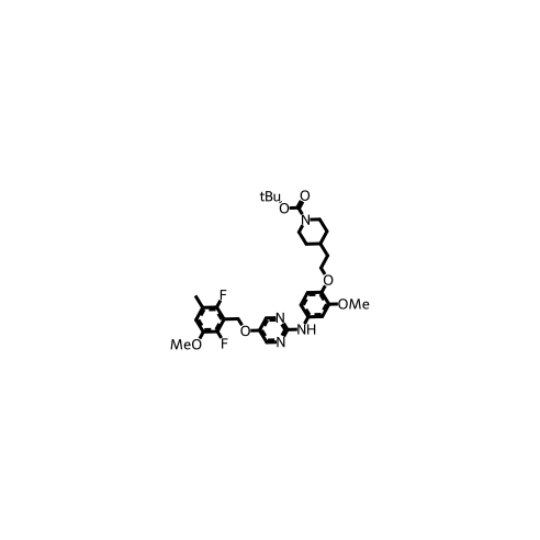 COc1cc(Nc2ncc(OCc3c(F)c(C)cc(OC)c3F)cn2)ccc1OCCC1CCN(C(=O)OC(C)(C)C)CC1